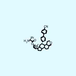 CC(C)[C@H](N)C(=O)OC/C=C\[C@]1(O)CCC2C3CCC4=COCCC4C3[C@@H](c3ccc(-c4ccc(C#N)cc4)cc3)C[C@@]21C